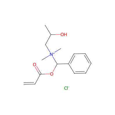 C=CC(=O)OC(c1ccccc1)[N+](C)(C)CC(C)O.[Cl-]